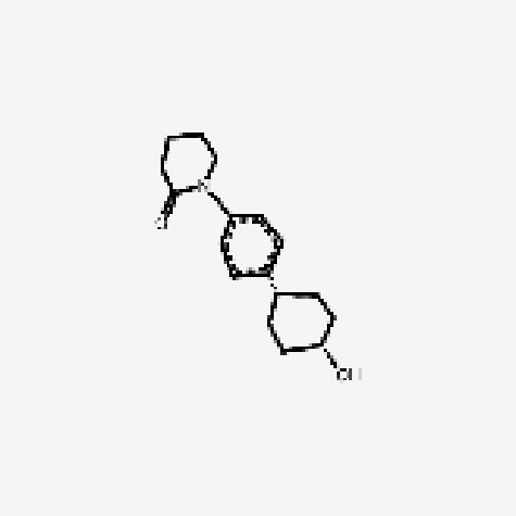 O=C1CCCCN1c1ccc([C@H]2CC[C@H](O)CC2)cc1